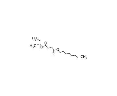 CCCCCCCCOC(=O)CCC(=O)OC(C)CC